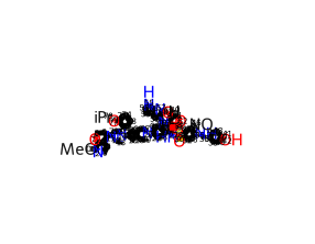 COc1nccc2c1OCC[C@H]2N1CCN(C2CC3(CCN(c4ccc(C(=O)NS(=O)(=O)c5ccc(NC[C@H]6CC[C@](C)(O)CC6)c([N+](=O)[O-])c5)c(N5c6cc7cc[nH]c7nc6O[C@H]6COCC[C@@H]65)c4)CC3)C2)[C@@H](c2ccccc2OC(C)C)C1